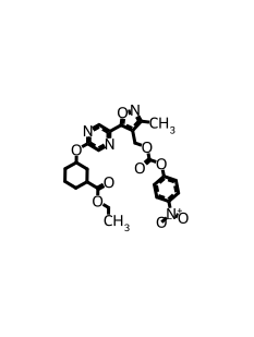 CCOC(=O)C1CCCC(Oc2cnc(-c3onc(C)c3COC(=O)Oc3ccc([N+](=O)[O-])cc3)cn2)C1